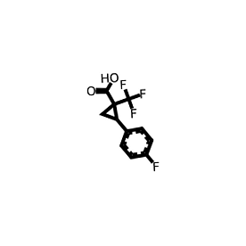 O=C(O)C1(C(F)(F)F)CC1c1ccc(F)cc1